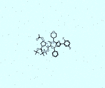 CC(=O)O[C@H]1CN(C(=O)OC(C)(C)C)C[C@H]1CN(C(=O)[C@H](C)O[Si](C)(C)C(C)(C)C)[C@@H](c1nc(-c2cc(F)ccc2F)cn1Cc1ccccc1)C1CCOCC1